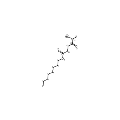 CCCCCCCCOC(=O)CCC(=O)N(C)O